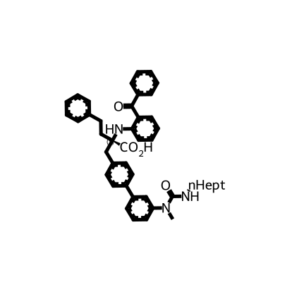 CCCCCCCNC(=O)N(C)c1cccc(-c2ccc(C[C@](CCc3ccccc3)(Nc3ccccc3C(=O)c3ccccc3)C(=O)O)cc2)c1